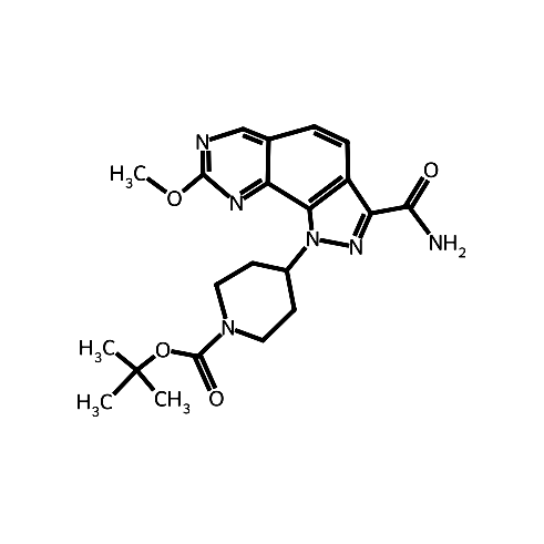 COc1ncc2ccc3c(C(N)=O)nn(C4CCN(C(=O)OC(C)(C)C)CC4)c3c2n1